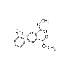 COC(=O)c1ccccc1C(=O)OC.Cc1ccccc1